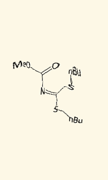 CCCCSC(=NC(=O)OC)SCCCC